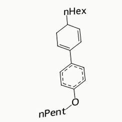 CCCCCCC1C=CC(c2ccc(OCCCCC)cc2)=CC1